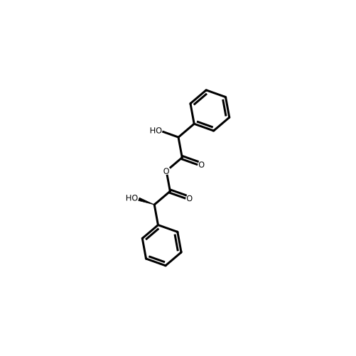 O=C(OC(=O)[C@H](O)c1ccccc1)C(O)c1ccccc1